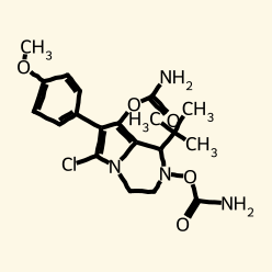 COc1ccc(-c2c(OC(N)=O)c3n(c2Cl)CCN(OC(N)=O)C3C(C)(C)C)cc1